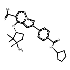 CC1(C)[C@H](Nc2c(C(N)=O)cnn3cc(-c4ccc(C(=O)NC5CCCC5)cc4)cc23)CC[C@]1(C)N